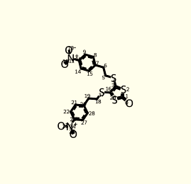 O=c1sc(SCCc2ccc([N+](=O)[O-])cc2)c(SCCc2ccc([N+](=O)[O-])cc2)s1